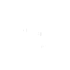 CC(C)[CH2][Al][CH](C)Cl